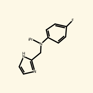 CC(C)N(Cc1ncc[nH]1)c1ccc(F)cc1